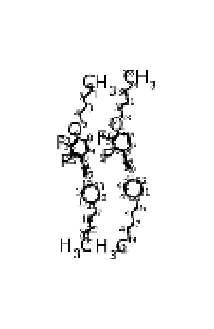 CCCCCCOc1ccc(C#C[C@H]2CC[C@H](CCCCC)CC2)c(F)c1F.CCCCCCOc1ccc(C#C[C@H]2CC[C@H](CCCCCC)CC2)c(F)c1F